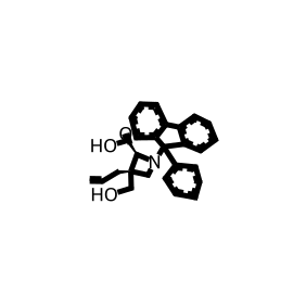 C=CC[C@]1(CO)CN(C2(c3ccccc3)c3ccccc3-c3ccccc32)[C@@H]1C(=O)O